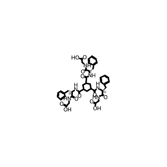 O=C(O)CNC(=O)[C@H](Cc1ccccc1)NC(=O)C1CC(C(=O)N[C@@H](Cc2ccccc2)C(=O)NCC(=O)O)CC(C(=O)N[C@@H](Cc2ccccc2)C(=O)NCC(=O)O)C1